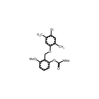 CCc1cc(C)c(OCc2c(OC)cccc2OC(=O)NC)cc1C